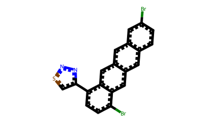 Brc1ccc2cc3cc4c(Br)ccc(-c5csnn5)c4cc3cc2c1